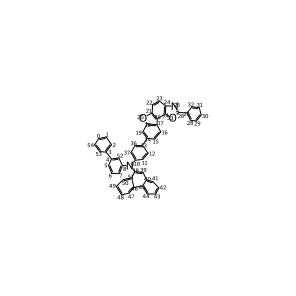 c1ccc(-c2cccc(N(c3ccc(-c4ccc5c(c4)oc4ccc6nc(-c7ccccc7)oc6c45)cc3)c3cc4ccccc4c4ccccc34)c2)cc1